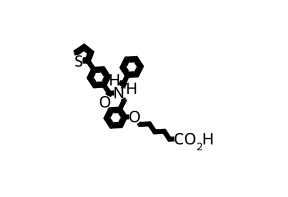 [2H]C([2H])(c1ccccc1)N(Cc1ccccc1OCCCCCC(=O)O)C(=O)c1ccc(-c2cccs2)cc1